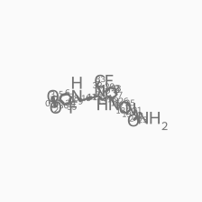 CS(=O)(=O)c1ccc(NCC#Cc2cc3c(NC4CCN(CC(N)=O)CC4)cccc3n2CC(F)(F)F)c(F)c1